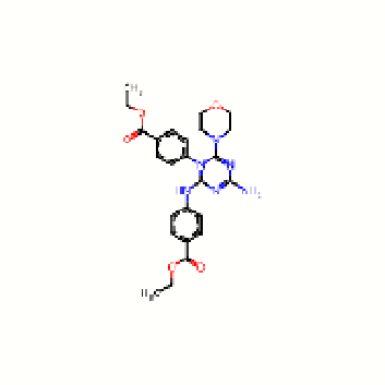 CCOC(=O)c1ccc(NC2N=C(N)N=C(N3CCOCC3)N2c2ccc(C(=O)OCC)cc2)cc1